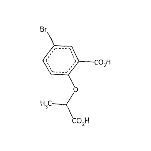 CC(Oc1ccc(Br)cc1C(=O)O)C(=O)O